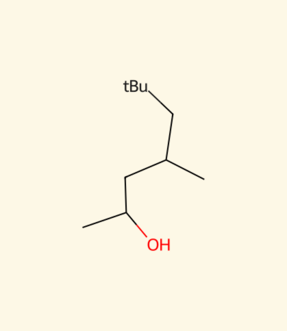 CC(O)CC(C)CC(C)(C)C